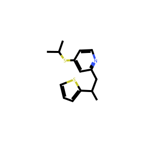 CC(C)Sc1ccnc(CC(C)c2cccs2)c1